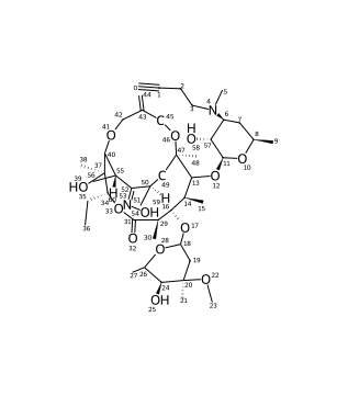 C#CCCN(C)[C@H]1C[C@@H](C)O[C@@H](OC2[C@@H](C)[C@H](OC3C[C@@](C)(OC)[C@@H](O)C(C)O3)[C@@H](C)C(=O)O[C@H](CC)[C@@](C)(O)C3OCC(=C)CO[C@]2(C)C[C@@H](C)/C(=N\O)[C@@H]3C)[C@@H]1O